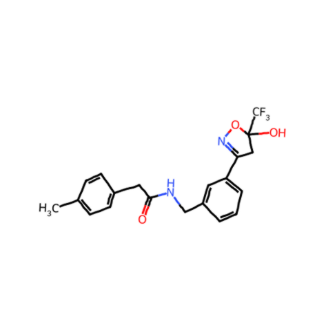 Cc1ccc(CC(=O)NCc2cccc(C3=NOC(O)(C(F)(F)F)C3)c2)cc1